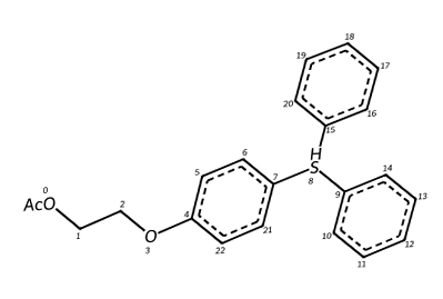 CC(=O)OCCOc1ccc([SH](c2ccccc2)c2ccccc2)cc1